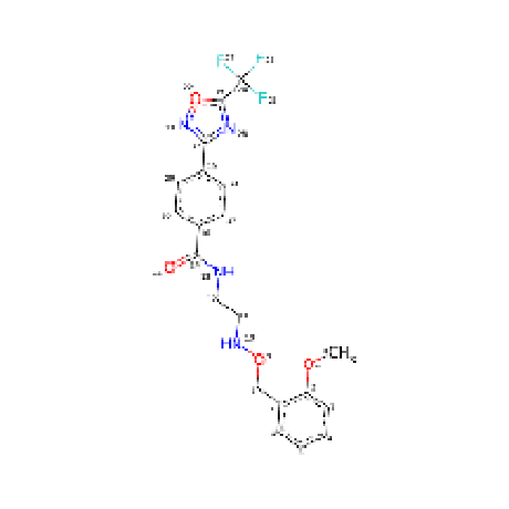 COc1ccccc1CONCCNC(=O)c1ccc(-c2noc(C(F)(F)F)n2)cc1